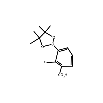 CCc1c(B2OC(C)(C)C(C)(C)O2)cccc1C(=O)O